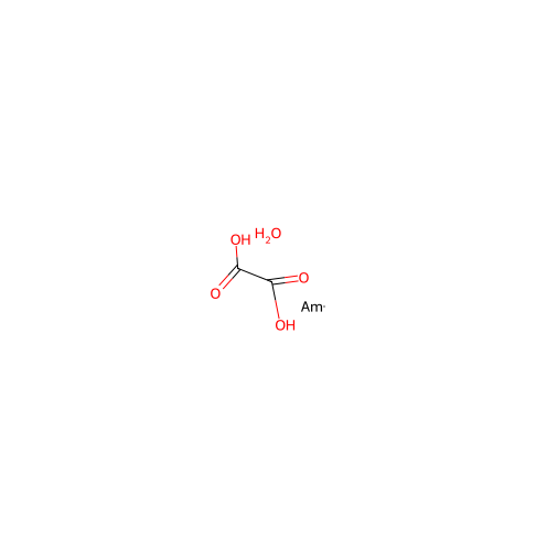 O.O=C(O)C(=O)O.[Am]